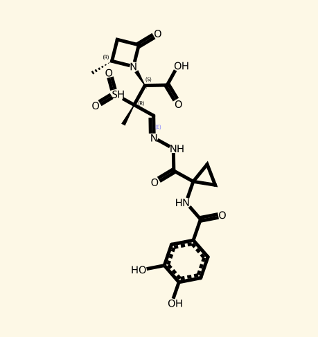 C[C@@H]1CC(=O)N1[C@@H](C(=O)O)[C@](C)(/C=N/NC(=O)C1(NC(=O)c2ccc(O)c(O)c2)CC1)[SH](=O)=O